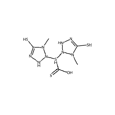 CN1C(S)=NNN1[SH](C(O)=S)N1NN=C(S)N1C